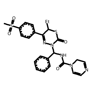 CCC1SC(=O)N(C(NC(=O)N2C=CN=CC2)c2ccccc2)N=C1c1ccc(S(C)(=O)=O)cc1